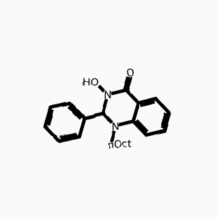 CCCCCCCCN1c2ccccc2C(=O)N(O)C1c1ccccc1